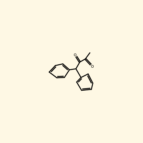 CC(=O)C(=O)C(c1ccccc1)c1ccccc1